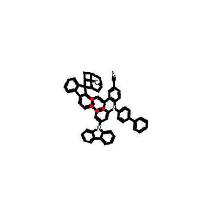 N#Cc1ccc(N(c2ccc(-c3ccccc3)cc2)c2cc(-c3ccc4c(c3)C3(c5ccccc5-4)C4CC5CC6CC3C64C5)cc(-n3c4ccccc4c4ccccc43)c2)c(-c2ccccc2)c1